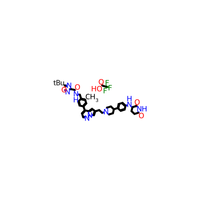 Cc1cc(-c2ccnn3cc(CCN4CCC(c5ccc(NC6CCC(=O)NC6=O)cc5)CC4)cc23)ccc1CNC(=O)c1noc(C(C)(C)C)n1.O=C(O)C(F)(F)F